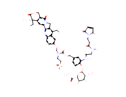 CCc1c2c(nc3ccc(OCN(CCS(C)(=O)=O)C(=O)OCc4ccc(O[C@@H]5O[C@H](C(=O)O)[C@@H](O)[C@H](O)[C@H]5O)c(NC(=O)CN(C)C(=O)CCN5C(=O)C=CC5O)c4)cc13)-c1cc3c(c(=O)n1C2)COC(=O)[C@]3(O)CC